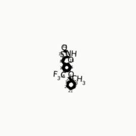 CC1(COc2ccc(C=C3SC(=O)NC3=O)cc2C(F)(F)F)CCCCC1